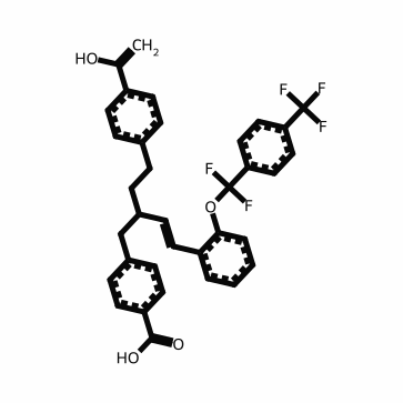 C=C(O)c1ccc(CCC(/C=C/c2ccccc2OC(F)(F)c2ccc(C(F)(F)F)cc2)Cc2ccc(C(=O)O)cc2)cc1